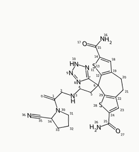 C=C(CNCCC1(c2nn[nH]n2)c2sc(C(N)=O)cc2CCc2cc(C(N)=O)sc21)N1CCCC1C#N